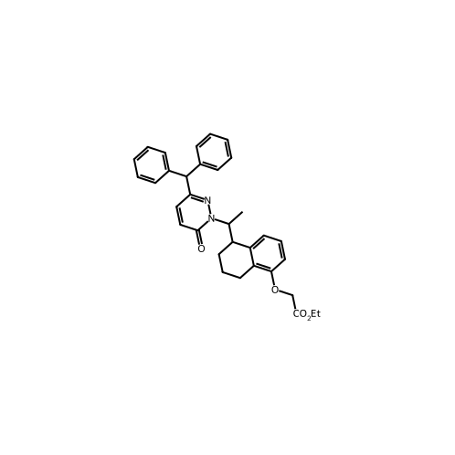 CCOC(=O)COc1cccc2c1CCCC2C(C)n1nc(C(c2ccccc2)c2ccccc2)ccc1=O